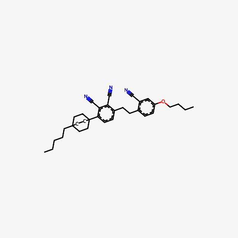 CCCCCC12CCC(c3ccc(CCc4ccc(OCCCC)cc4C#N)c(C#N)c3C#N)(CC1)CC2